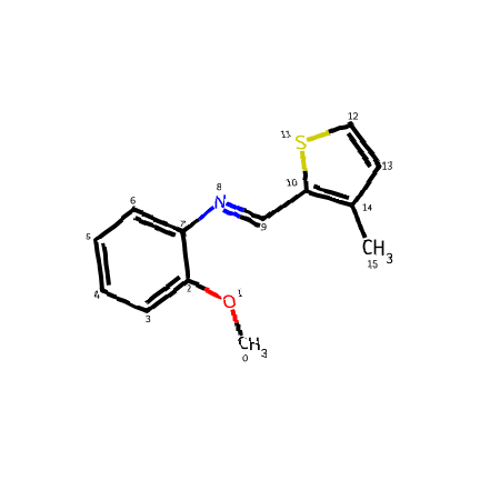 COc1ccccc1/N=C/c1sccc1C